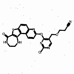 N#CCCOCc1cnc(Cl)nc1Oc1ccc2c(ccc3sc4c(c32)NCCNC4=O)n1